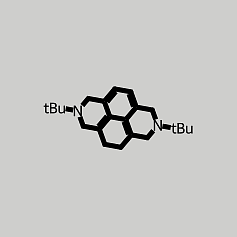 CC(C)(C)N1CC2=c3c(ccc4c3=C(CC2)CN(C(C)(C)C)C4)C1